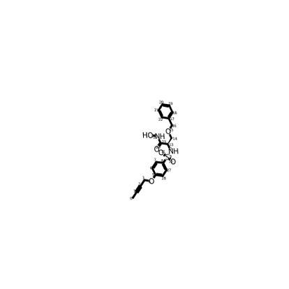 CC#CCOc1ccc(S(=O)(=O)N[C@H](COCc2ccccc2)C(=O)NO)cc1